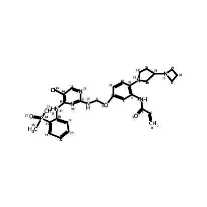 C=CC(=O)Nc1cc(OCNc2ncc(Cl)c(Nc3ccccc3P(C)(C)=O)n2)ccc1N1CCC(N2CCC2)C1